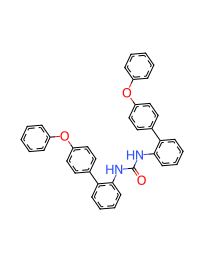 O=C(Nc1ccccc1-c1ccc(Oc2ccccc2)cc1)Nc1ccccc1-c1ccc(Oc2ccccc2)cc1